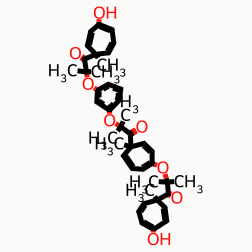 CC1(C(=O)C(C)(C)OC2=CC=CC(C)(C(=O)C(C)(C)Oc3cccc(OC(C)(C)C(=O)C4(C)C=CC=C(O)C=C4)c3)C=C2)C=CC=C(O)C=C1